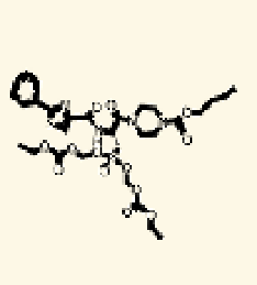 CCCCOC(=O)N1CCN(C(=O)[C@H](CP(=O)(OCOC(=O)OCC)OCOC(=O)OCC)NC(=O)c2csc(-c3ccccc3)n2)CC1